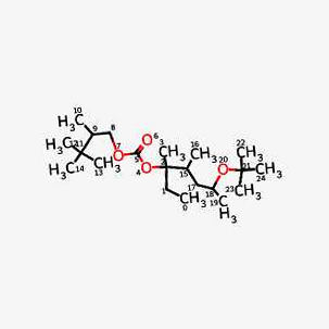 CCC(C)(OC(=O)OCC(C)C(C)(C)C)C(C)CC(C)OC(C)(C)C